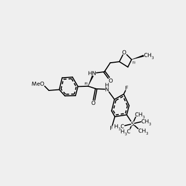 COCc1ccc([C@@H](NC(=O)CC2C[C@H](C)O2)C(=O)Nc2cc(F)c(S(C)(C)(C)(C)C)cc2F)cc1